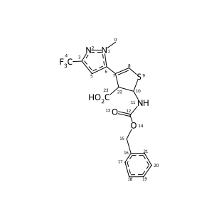 Cn1nc(C(F)(F)F)cc1C1=CSC(NC(=O)OCc2ccccc2)C1C(=O)O